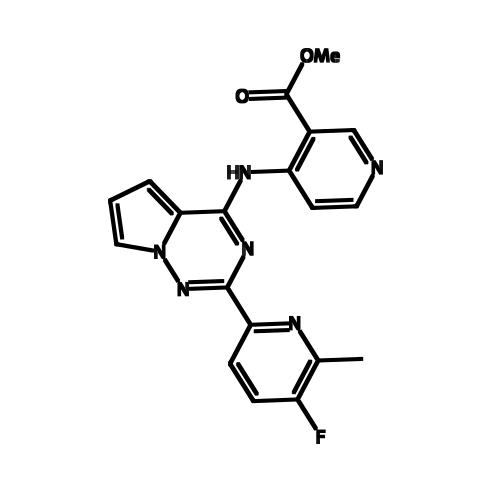 COC(=O)c1cnccc1Nc1nc(-c2ccc(F)c(C)n2)nn2cccc12